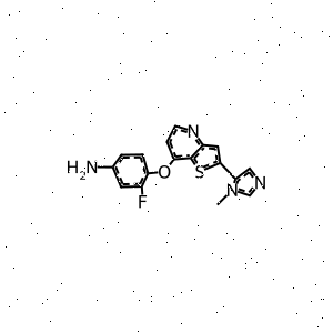 Cn1cncc1-c1cc2nccc(Oc3ccc(N)cc3F)c2s1